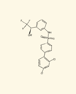 O=S(=O)(Nc1cccc([C@@H](O)C(F)(F)F)c1)c1ccc(-c2ccc(Cl)cc2Cl)cc1